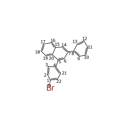 Brc1ccc(-c2cc(-c3ccccc3)cc3ccccc23)cc1